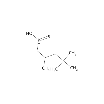 CC(C[PH](O)=S)CC(C)(C)C